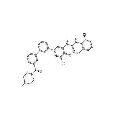 CCn1nc(-c2cccc(-c3cccc(C(=O)N4CCN(C)CC4)c3)c2)cc(NC(=O)Nc2c(Cl)cncc2Cl)c1=O